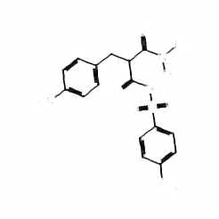 CCN(CC)C(=O)C(Cc1ccc([N+](=O)[O-])cc1)C(=O)NS(=O)(=O)c1ccc(C(F)(F)F)cc1